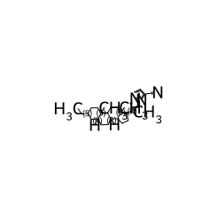 CC[C@H]1CC[C@]2(C)C3CC[C@@]4(C)C(CCC4[C@@H](C)Cn4ccc(C#N)n4)[C@@H]3CC[C@@H]2C1